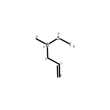 C=CCB(C)SI